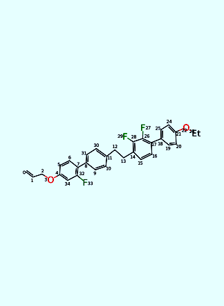 C=CCOc1ccc(-c2ccc(CCc3ccc(-c4ccc(OCC)cc4)c(F)c3F)cc2)c(F)c1